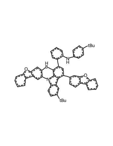 CC(C)(C)c1ccc(Nc2ccccc2-c2cc(-c3ccc4c(c3)oc3ccccc34)c3c4cc(C(C)(C)C)ccc4n4c3c2Bc2cc3oc5ccccc5c3cc2-4)cc1